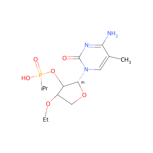 CCOC1CO[C@@H](n2cc(C)c(N)nc2=O)C1OP(=O)(O)C(C)C